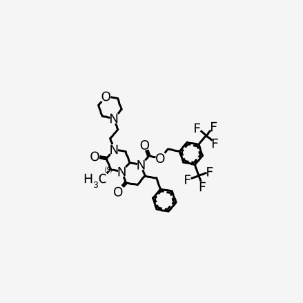 C[C@H]1C(=O)N(CCN2CCOCC2)CC2N(C(=O)OCc3cc(C(F)(F)F)cc(C(F)(F)F)c3)C(Cc3ccccc3)CC(=O)N21